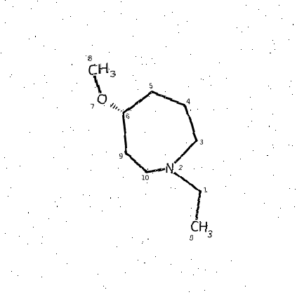 CCN1CCC[C@@H](OC)CC1